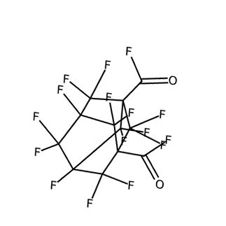 O=C(F)C12C(F)(F)C3(F)C(F)(F)C(F)(C1(F)F)C(F)(F)C(C(=O)F)(C3(F)F)C2(F)F